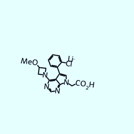 COC1CN(c2ncnc3c2c(-c2ccccc2Cl)cn3CC(=O)O)C1.[Li]